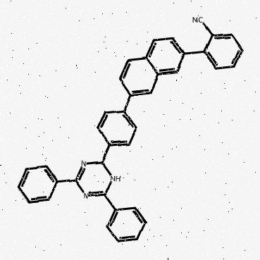 N#Cc1ccccc1-c1ccc2ccc(-c3ccc(C4N=C(c5ccccc5)N=C(c5ccccc5)N4)cc3)cc2c1